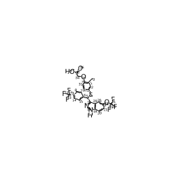 Cc1cc(SC(c2ccc(C(F)(F)F)cc2)c2n[nH]c3ccc(OC(F)(F)F)cc23)ccc1OCC(=O)O